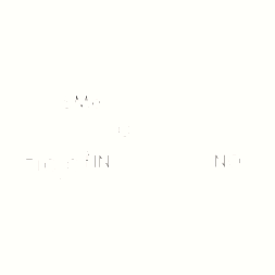 CCOC(=O)[C@H](CCSC)NC(=O)Cc1cccc([N+](=O)[O-])c1